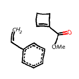 C=Cc1ccccc1.COC(=O)C1=CCC1